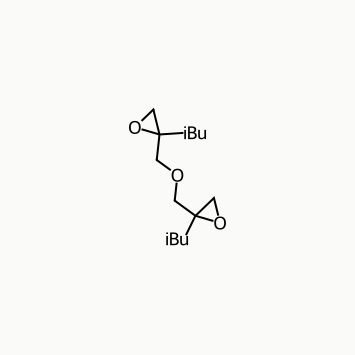 CCC(C)C1(COCC2(C(C)CC)CO2)CO1